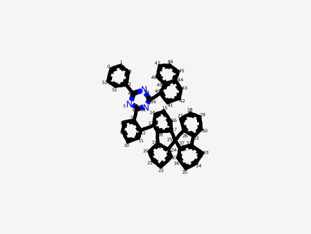 c1ccc(-c2nc(-c3ccccc3-c3cccc4c3-c3ccccc3C43c4ccccc4-c4ccccc43)nc(-c3cccc4ccccc34)n2)cc1